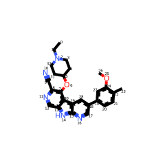 CCN1CCC(Oc2c(C#N)ncc3[nH]c4ncc(-c5ccc(C)c(OC)c5)cc4c23)CC1